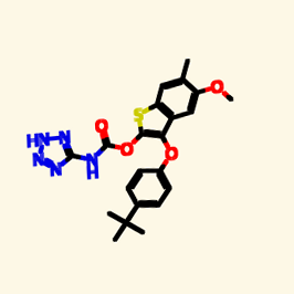 COc1cc2c(Oc3ccc(C(C)(C)C)cc3)c(OC(=O)Nc3nn[nH]n3)sc2cc1C